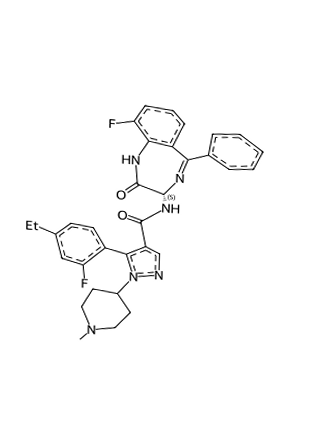 CCc1ccc(-c2c(C(=O)N[C@H]3N=C(c4ccccc4)c4cccc(F)c4NC3=O)cnn2C2CCN(C)CC2)c(F)c1